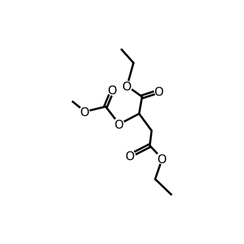 CCOC(=O)CC(OC(=O)OC)C(=O)OCC